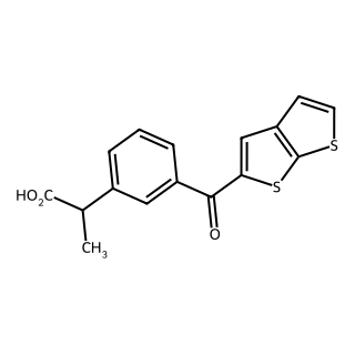 CC(C(=O)O)c1cccc(C(=O)c2cc3ccsc3s2)c1